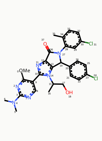 COc1nc(N(C)C)ncc1-c1nc2c(n1C(C)CO)C(c1ccc(Cl)cc1)N(c1cc(Cl)ccc1C)C2=O